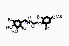 COc1cc(Br)c(OCC(=O)N/N=C/c2cc(Br)c(O)c(O)c2Br)c(Br)c1